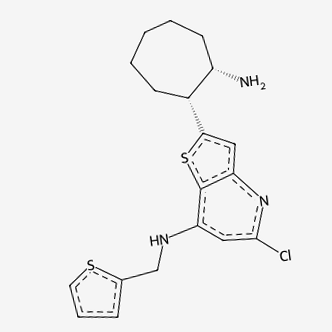 N[C@H]1CCCCC[C@H]1c1cc2nc(Cl)cc(NCc3cccs3)c2s1